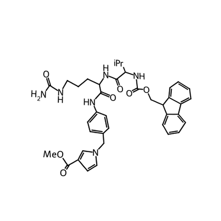 COC(=O)c1ccn(Cc2ccc(NC(=O)C(CCCNC(N)=O)NC(=O)C(NC(=O)OCC3c4ccccc4-c4ccccc43)C(C)C)cc2)c1